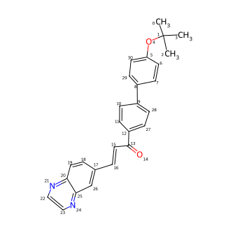 CC(C)(C)Oc1ccc(-c2ccc(C(=O)/C=C/c3ccc4nccnc4c3)cc2)cc1